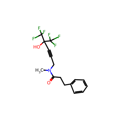 CN(CC#CC(O)(C(F)(F)F)C(F)(F)F)C(=O)CCc1ccccc1